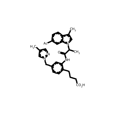 CC(=O)c1ccc2c(C)cn(C(C)C(=O)Nc3cc(Cn4cc(C)cn4)ccc3CCCC(=O)O)c2c1